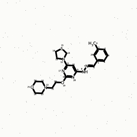 Cc1cccc(C=NNc2cc(N3CCSC3)nc(OCCN3CCOCC3)n2)c1